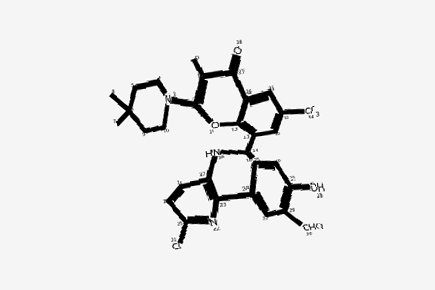 Cc1c(N2CCC(C)(C)CC2)oc2c(C(C)Nc3ccc(Cl)nc3-c3ccc(O)c(C=O)c3)cc(C(F)(F)F)cc2c1=O